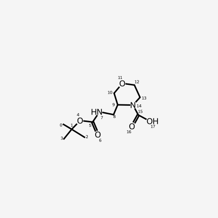 CC(C)(C)OC(=O)NCC1COCCN1C(=O)O